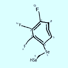 Fc1ccc([Se][SeH])c(F)c1F